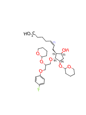 O=C(O)CCC/C=C\C[C@@H]1[C@@H](OCC(COc2ccc(F)cc2)OC2CCCCO2)[C@H](OC2CCCCO2)C[C@@H]1O